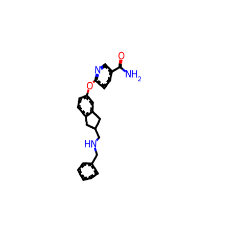 NC(=O)c1ccc(Oc2ccc3c(c2)CC(CNCc2ccccc2)C3)nc1